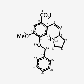 COc1cc(C(=O)O)c(/C=C\C2CCCN2)cc1OCc1ccccc1